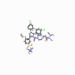 CCOc1ccc(S(=O)(=O)NC(C)(C)C)cc1C1=N[C@@H](c2ccc(Cl)cc2)[C@@H](c2ccc(Cl)cc2)N1C(=O)N1CCN(CC(=O)N(C)C(C)C)CC1